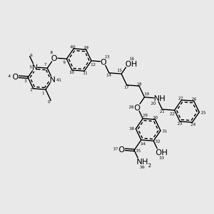 Cc1cc(=O)n(C)c(Oc2ccc(OCC(O)CCC(NCc3ccccc3)Oc3ccc(O)c(C(N)=O)c3)cc2)n1